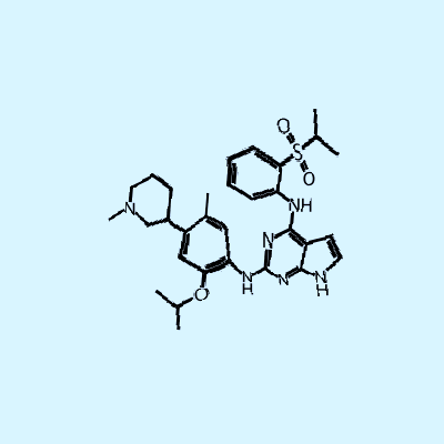 Cc1cc(Nc2nc(Nc3ccccc3S(=O)(=O)C(C)C)c3cc[nH]c3n2)c(OC(C)C)cc1C1CCCN(C)C1